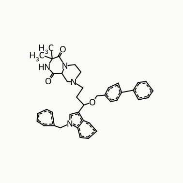 CC1(C)NC(=O)C2CN(CCC(OCc3ccc(-c4ccccc4)cc3)c3cn(Cc4ccccc4)c4ccccc34)CCN2C1=O